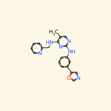 Cc1cnc(Nc2cccc(-c3cnco3)c2)nc1NCc1ccccn1